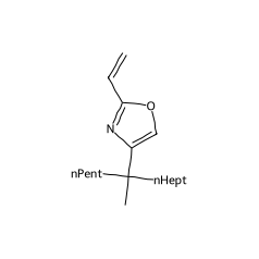 C=Cc1nc(C(C)(CCCCC)CCCCCCC)co1